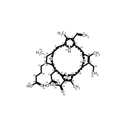 C=Cc1c(C)c2cc3nc(c(CC(=O)O)c4[nH]c(cc5nc(cc1[nH]2)C(C)=C5CC)c(C)c4C(=O)O)[C@@H](CCCC(=O)O)[C@@H]3C